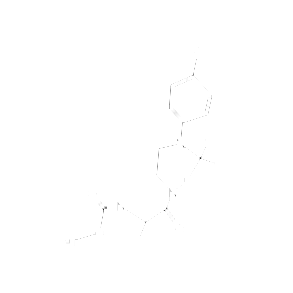 CC(C)C(NC(=O)OC(C)(C)C)C(=O)N1CCN(c2ccc(Cl)cc2)C(C)(C)C1